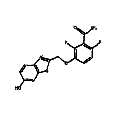 NC(=O)c1c(F)ccc(OCc2nc3ccc(O)cc3s2)c1F